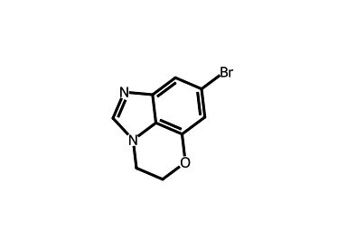 Brc1cc2c3c(c1)ncn3CCO2